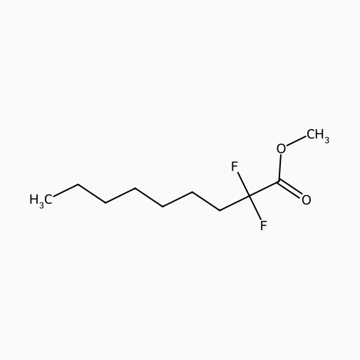 CCCCCCCC(F)(F)C(=O)OC